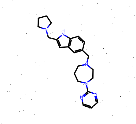 c1cnc(N2CCCN(Cc3ccc4[nH]c(CN5CCCC5)cc4c3)CC2)nc1